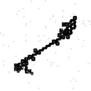 C/C=C/C[C@@H](C)[C@H](CC(N)=O)OC(=O)OCOC(=O)CCC(=O)OCCCCCCCCOC(=O)CCC(=O)OCC(=O)[C@@]1(O)CCC2C3CCC4=CC(=O)C=C[C@]4(C)C3[C@@H](O)C[C@@]21C